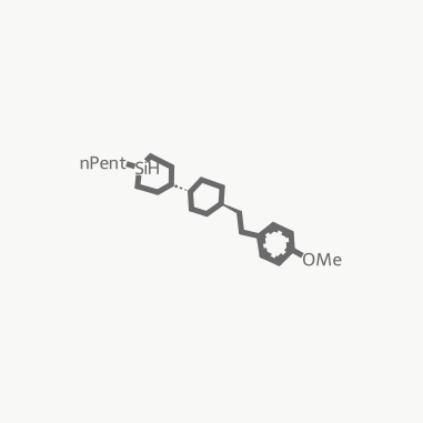 CCCCC[SiH]1CCC([C@H]2CC[C@H](CCc3ccc(OC)cc3)CC2)CC1